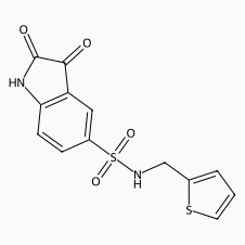 O=C1Nc2ccc(S(=O)(=O)NCc3cccs3)cc2C1=O